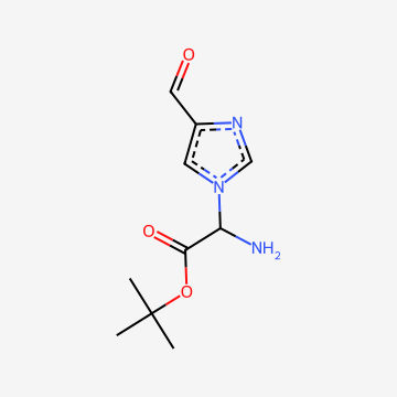 CC(C)(C)OC(=O)C(N)n1cnc(C=O)c1